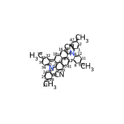 Cc1ccc(N(c2ccc(C)cc2)c2c(C#N)cc3ccc4c(N(c5ccc(C)cc5)c5ccc(C)cc5)c(C#N)cc5ccc2c3c54)cc1